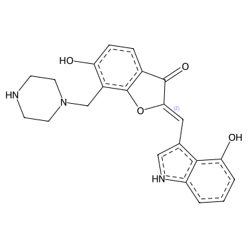 O=C1/C(=C/c2c[nH]c3cccc(O)c23)Oc2c1ccc(O)c2CN1CCNCC1